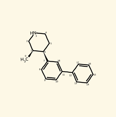 C[C@H]1CNCC[C@H]1c1cccc(-c2ccccc2)c1